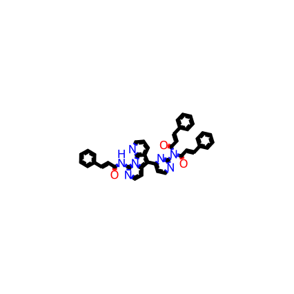 O=C(C=Cc1ccccc1)Nc1nccc2c(-c3ccnc(N(C(=O)/C=C/c4ccccc4)C(=O)/C=C/c4ccccc4)n3)c3cccnc3n12